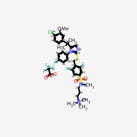 COc1cc(C(C)(C)c2cnc(SCc3c(F)cc(S(=O)(=O)N(C)CCC[N+](C)(C)C)cc3F)n2-c2ccc(F)cc2)ccc1Cl.O=C([O-])C(F)(F)F